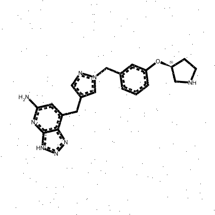 Nc1cc(Cc2cnn(Cc3cccc(O[C@H]4CCNC4)c3)c2)c2nn[nH]c2n1